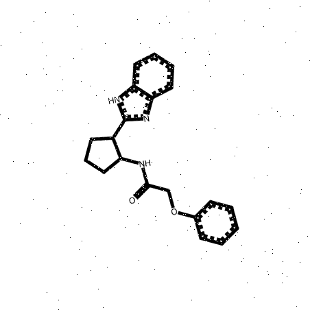 O=C(COc1ccccc1)NC1CCCC1c1nc2ccccc2[nH]1